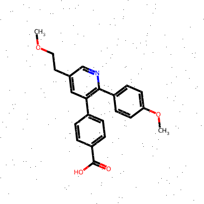 COCCc1cnc(-c2ccc(OC)cc2)c(-c2ccc(C(=O)O)cc2)c1